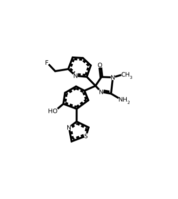 CN1C(=O)C(c2ccc(O)c(-c3cscn3)c2)(c2cccc(CF)n2)N=C1N